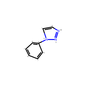 [c]1[c]n(-c2ccccc2)nn1